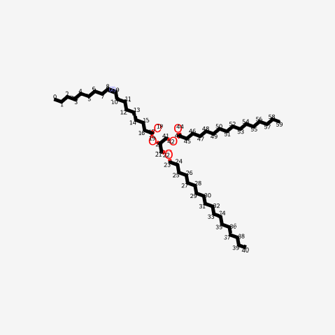 CCCCCCCC/C=C\CCCCCCCC(=O)OC(COCCCCCCCCCCCCCCCCCC)COC(=O)CCCCCCCCCCCCCCC